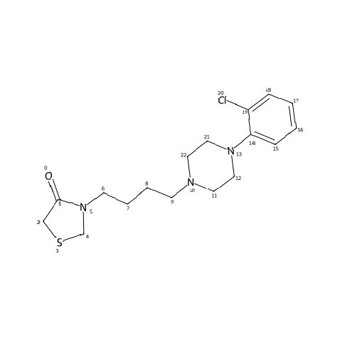 O=C1CSCN1CCCCN1CCN(c2ccccc2Cl)CC1